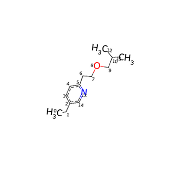 CCc1ccc(CCOCC(C)C)nc1